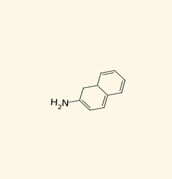 NC1=CC=C2C=CC=CC2C1